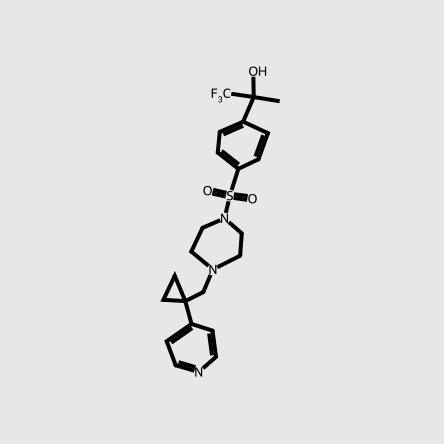 CC(O)(c1ccc(S(=O)(=O)N2CCN(CC3(c4ccncc4)CC3)CC2)cc1)C(F)(F)F